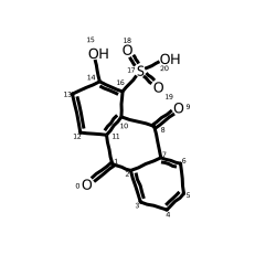 O=C1c2ccccc2C(=O)c2c1ccc(O)c2S(=O)(=O)O